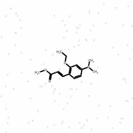 CCOc1cc(N(C)C)ccc1C=CC(=O)OC